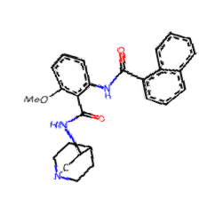 COc1cccc(NC(=O)c2cccc3ccccc23)c1C(=O)NC1CN2CCC1CC2